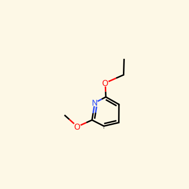 CCOc1cc[c]c(OC)n1